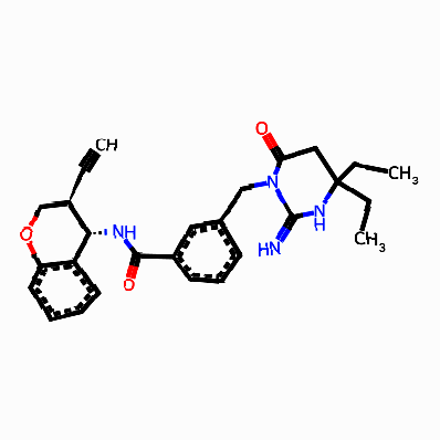 C#C[C@@H]1COc2ccccc2[C@H]1NC(=O)c1cccc(CN2C(=N)NC(CC)(CC)CC2=O)c1